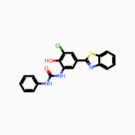 O=C(Nc1ccccc1)Nc1cc(-c2nc3ccccc3s2)cc(Cl)c1O